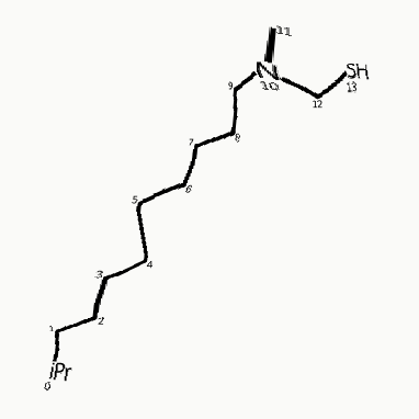 CC(C)CCCCCCCCCN(C)CS